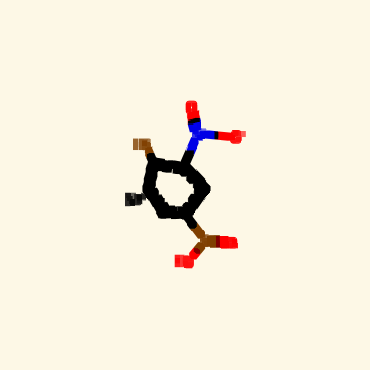 O=[N+]([O-])c1cc(S(=O)O)ccc1S.[Na+]